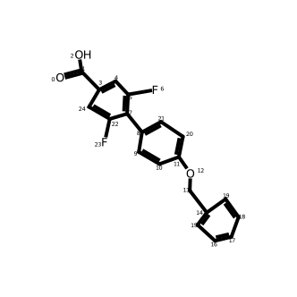 O=C(O)c1cc(F)c(-c2ccc(OCc3ccccc3)cc2)c(F)c1